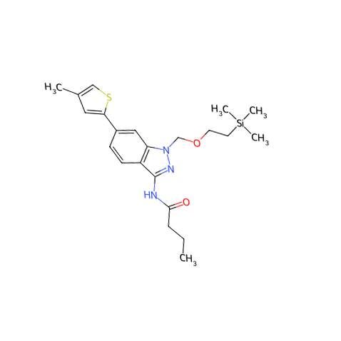 CCCC(=O)Nc1nn(COCC[Si](C)(C)C)c2cc(-c3cc(C)cs3)ccc12